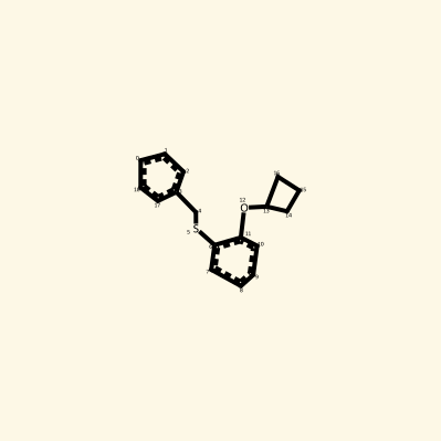 c1ccc(CSc2ccccc2OC2CCC2)cc1